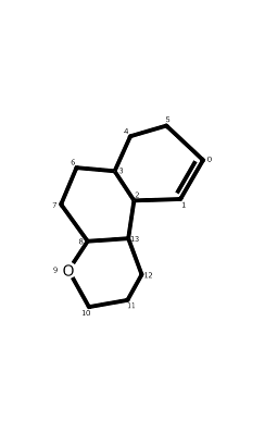 C1=CC2C(CC1)CCC1OCCCC12